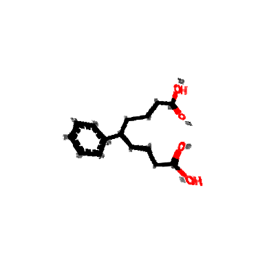 O=C(O)CCCC(CCCC(=O)O)c1ccccc1